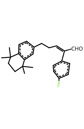 CC1(C)CCC(C)(C)c2cc(CCC=C(C=O)c3ccc(F)cc3)ccc21